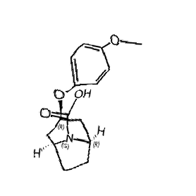 COc1ccc(O[C@H]2C[C@H]3CC[C@@H](C2)N3C(=O)O)cc1